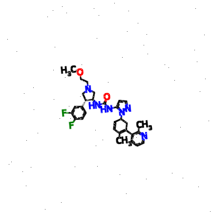 COCCN1C[C@@H](NC(=O)Nc2ccnn2C2C=CC(C)=C(c3cccnc3C)C2)[C@H](c2ccc(F)c(F)c2)C1